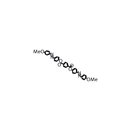 COc1ccc(/N=N/c2ccc(OC(=O)c3ccc(C(=O)Oc4ccc(/N=N/c5ccc(OC)cc5)cc4)cc3)cc2)cc1